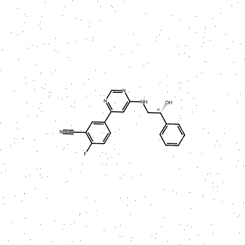 N#Cc1cc(-c2cc(NC[C@H](O)c3ccccc3)ncn2)ccc1F